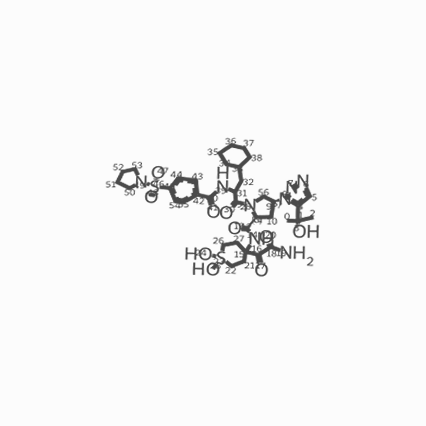 CC(C)(O)c1cnnn1[C@H]1C[C@@H](C(=O)NC2(C(=O)C(N)=O)CCS(O)(O)CC2)N(C(=O)C(CC2CCCCC2)NC(=O)c2ccc(S(=O)(=O)N3CCCC3)cc2)C1